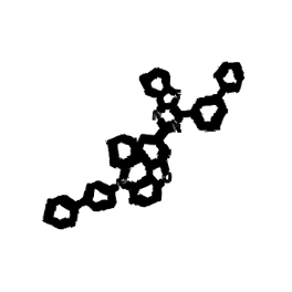 c1ccc(-c2ccc(N(c3ccccc3)c3cccc4oc5cc(-c6nc(-c7cccc(-c8ccccc8)c7)c7sc8ccccc8c7n6)ccc5c34)cc2)cc1